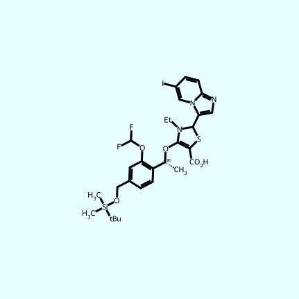 CCN1C(O[C@H](C)c2ccc(CO[Si](C)(C)C(C)(C)C)cc2OC(F)F)=C(C(=O)O)SC1c1cnc2ccc(I)cn12